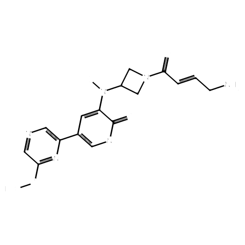 COc1cncc(-c2c[nH]c(=O)c(N(C)C3CN(C(=O)C=CCN)C3)c2)n1